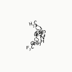 Cc1ccc(S(=O)(=O)c2cc[nH]c2C(=O)c2ccc(NC(=O)C(F)(F)F)cc2)cc1